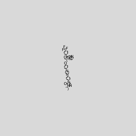 CCC(C)n1ncn(-c2ccc(N3CCN(c4ccc(OCC5COC(Cn6nccn6)(c6ccc(C(F)(F)F)cc6)O5)cc4)CC3)cc2)c1=O